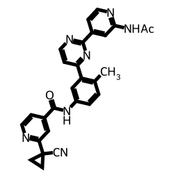 CC(=O)Nc1cc(-c2nccc(-c3cc(NC(=O)c4ccnc(C5(C#N)CC5)c4)ccc3C)n2)ccn1